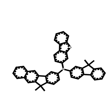 CC1(C)c2ccccc2-c2ccc(N(c3ccc4c(c3)-c3cc5ccccc5cc3C4(C)C)c3ccc4c(c3)sc3ccccc34)cc21